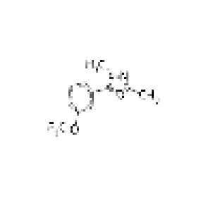 Cc1nc(C)c(-c2cccc(OC(F)(F)F)c2)o1